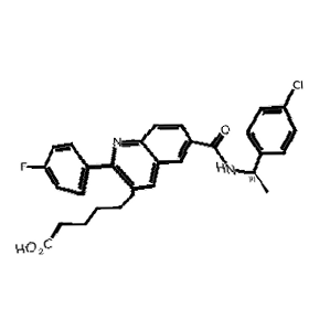 C[C@@H](NC(=O)c1ccc2nc(-c3ccc(F)cc3)c(CCCCC(=O)O)cc2c1)c1ccc(Cl)cc1